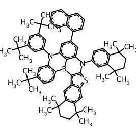 CC(C)(C)c1cc(N2c3cc(C(C)(C)C)ccc3B3c4c2cc(-c2cccc5ccccc25)cc4N(c2ccc4c(c2)C(C)(C)CCC4(C)C)c2sc4cc5c(cc4c23)C(C)(C)CCC5(C)C)cc(C(C)(C)C)c1